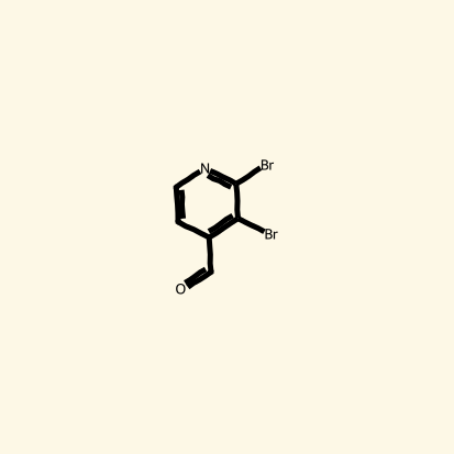 O=Cc1ccnc(Br)c1Br